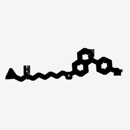 Brc1ccc(-c2nccc3cc(OCCCCCCNCC4CC4)ccc23)cc1